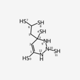 SC1=CC(S)(CC(S)S)NN(S)N1